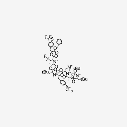 C[C@@H](OC(=O)C(CC(C)(C)C)N(C)C(=O)OC(C)(C)C)C(=O)N(C)[C@@H](CC(C)(C)F)C(=O)O[C@@H](Cc1ccc(SC(F)(F)F)cc1)C(=O)N(C)[C@@H](CC(C)(C)C)C(=O)O[C@H](C)C(=O)N(C)[C@@H](CC(C)(C)F)C(=O)O[C@@H](Cc1ccc(SC(F)(F)F)cc1)C(=O)OCc1ccccc1